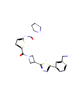 NCc1cccc(-c2cnc(C3CN(C(=O)c4ccc(NC(=O)[C@@H]5CCCN5)s4)C3)s2)c1